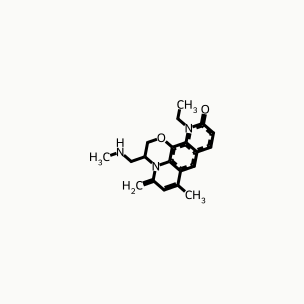 C=C1C=C(C)c2cc3ccc(=O)n(CC)c3c3c2N1C(CNC)CO3